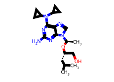 CC(C)C[C@@H](CO)O[C@H](C)n1cnc2c(N(C3CC3)C3CC3)nc(N)nc21